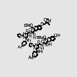 CC(=O)N1CCC(Nc2cc(C(=O)NC[C@@H](O)[C@@H]3Cc4ccc(O)cc4CN3C(=O)OC(C)(C)C)nc(N3CCCC3)n2)CC1.CC(=O)N1CCC(Nc2cc(C(=O)NC[C@@H](O)[C@@H]3Cc4ccc(OCc5ocnc5C)cc4CN3C(=O)OC(C)(C)C)nc(N3CCCC3)n2)CC1